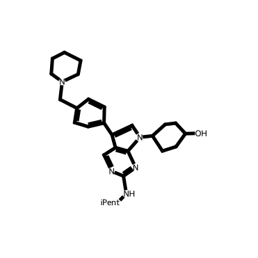 CCCC(C)Nc1ncc2c(-c3ccc(CN4CCCCC4)cc3)cn(C3CCC(O)CC3)c2n1